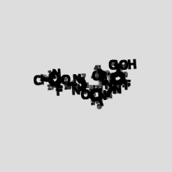 C[C@H]1C[C@@H](Oc2ccnc(COc3ncc(Cl)cc3F)n2)CCN1Cc1nc2c(F)cc(C(=O)O)cc2n1C[C@@H]1CCO1